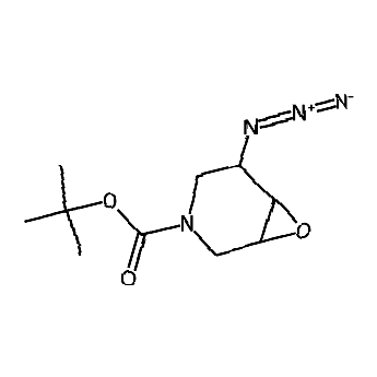 CC(C)(C)OC(=O)N1CC(N=[N+]=[N-])C2OC2C1